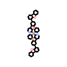 c1ccc([Si](c2ccccc2)(c2nccc3c2oc2ccc(-c4cccc5c4oc4ccccc45)cc23)c2nccc3c2oc2ccc(-c4cccc5c4oc4ccccc45)cc23)cc1